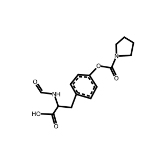 O=CNC(Cc1ccc(OC(=O)N2CCCC2)cc1)C(=O)O